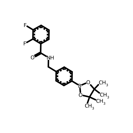 CC1(C)OB(c2ccc(CNC(=O)c3cccc(F)c3F)cc2)OC1(C)C